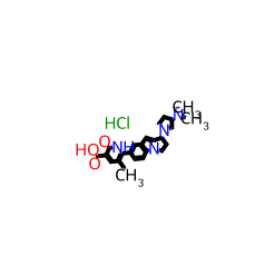 CCc1cc(C(=O)O)c(=O)[nH]c1-c1ccc2c(c1)cc1n2CCC1N1CCC(N(C)C)C1.Cl